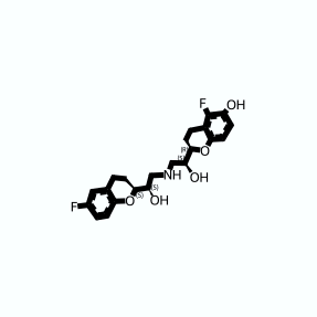 Oc1ccc2c(c1F)CC[C@H]([C@@H](O)CNC[C@H](O)[C@@H]1CCc3cc(F)ccc3O1)O2